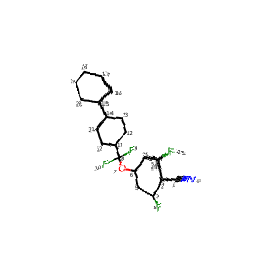 N#CC1C(F)CC(OC(F)(F)C2CCC(C3CCCCC3)CC2)CC1F